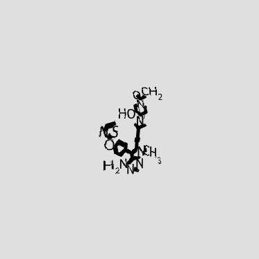 C=CC(=O)N1CC[C@@H](N2CC(C#Cc3c(-c4ccc(Oc5nccs5)cc4)c4c(N)ncnc4n3C)C2)[C@@H](O)C1